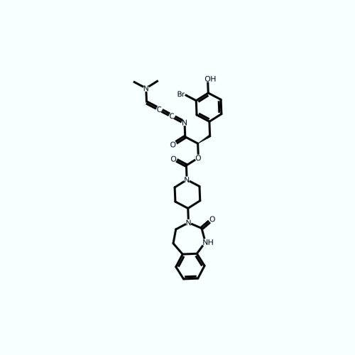 CN(C)C=C=C=NC(=O)[C@@H](Cc1ccc(O)c(Br)c1)OC(=O)N1CCC(N2CCc3ccccc3NC2=O)CC1